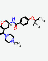 CC(C)Oc1ccc(C(=O)N[C@@H]2COc3cccc(N4CCN(C)CC4)c3C2)cc1